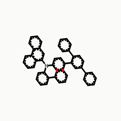 c1ccc(-c2ccc(-c3ccccc3)c(-c3ccc(N(c4ccccc4-c4ccccc4)c4cc5ccccc5c5ccccc45)cc3)c2)cc1